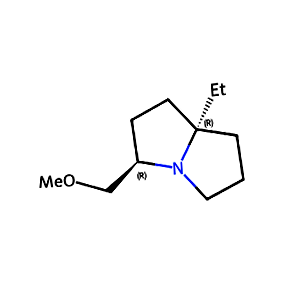 CC[C@]12CCCN1[C@@H](COC)CC2